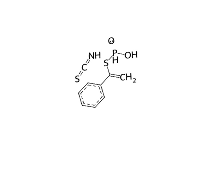 C=C(S[PH](=O)O)c1ccccc1.N=C=S